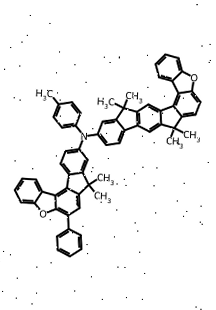 Cc1ccc(N(c2ccc3c(c2)C(C)(C)c2cc4c(cc2-3)C(C)(C)c2ccc3oc5ccccc5c3c2-4)c2ccc3c(c2)C(C)(C)c2cc(-c4ccccc4)c4oc5ccccc5c4c2-3)cc1